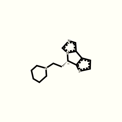 c1cc2c(s1)[C@H](CCN1CCCCC1)n1cncc1-2